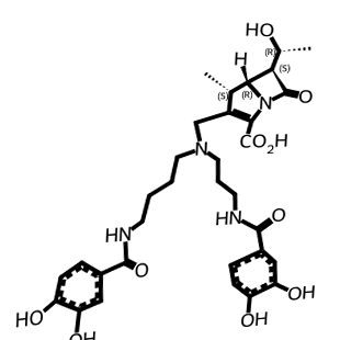 C[C@@H](O)[C@H]1C(=O)N2C(C(=O)O)=C(CN(CCCCNC(=O)c3ccc(O)c(O)c3)CCCNC(=O)c3ccc(O)c(O)c3)[C@H](C)[C@H]12